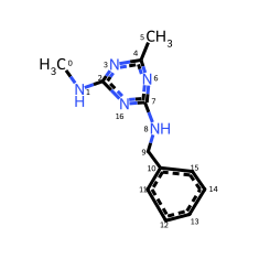 CNc1nc(C)nc(NCc2ccccc2)n1